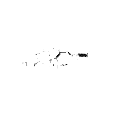 C#Cc1ccc([C@@]2(C)SCCC(C(C)(C)C)S2)cc1